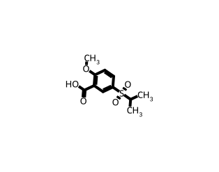 COc1ccc(S(=O)(=O)C(C)C)cc1C(=O)O